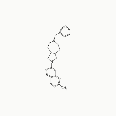 Cc1ccc2ccc(N3CC4CCN(Cc5ccccc5)CCC4C3)cc2c1